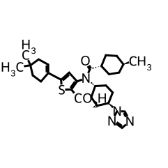 CC1(C)CC=C(c2cc(N(C(=O)[C@H]3CC[C@H](C)CC3)[C@H]3CC[C@H](n4cncn4)CC3)c(C(=O)O)s2)CC1